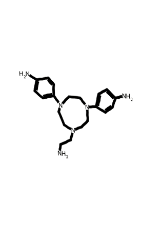 NCCN1CCN(c2ccc(N)cc2)CCN(c2ccc(N)cc2)CC1